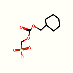 O=C(OCC1CCCCC1)OCS(=O)(=O)O